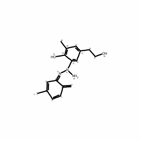 C=C1C=CC(I)=C/C1=N/N(N)c1cc(CCO)cc(C)c1O